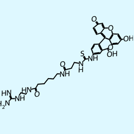 N=C(N)NCCNC(=O)CCCCCNC(=O)CCNC(=S)Nc1ccc(-c2c3ccc(=O)cc-3oc3cc(O)ccc23)c(C(=O)O)c1